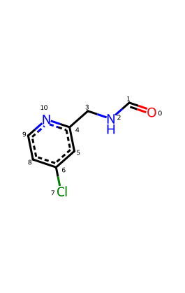 O=CNCc1cc(Cl)ccn1